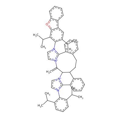 C=C1C2C(CCc3ccccc3-c3n(-c4c(C(C)C)cc5c(oc6ccccc65)c4C(C)C)cc[n+]31)c1ccccc1-c1n(-c3c(C(C)C)cccc3C(C)C)cc[n+]12